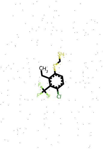 CCc1c(SCS)ccc(Cl)c1C(F)(F)F